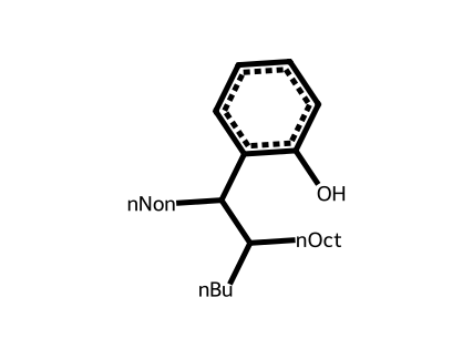 CCCCCCCCCC(c1ccccc1O)C(CCCC)CCCCCCCC